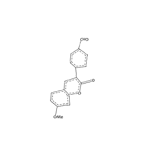 COc1ccc2cc(-c3ccc(C=O)cc3)c(=O)oc2c1